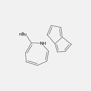 C1=CC2=CC=CC2=C1.CCCCC1=CC=CC=CN1